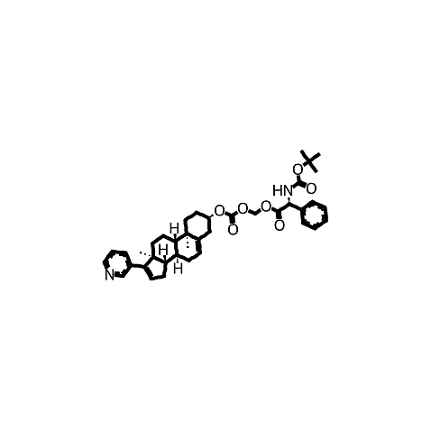 CC(C)(C)OC(=O)N[C@@H](C(=O)OCOC(=O)O[C@H]1CC[C@@]2(C)C(=CC[C@@H]3[C@@H]2CC[C@]2(C)C(c4cccnc4)=CC[C@@H]32)C1)c1ccccc1